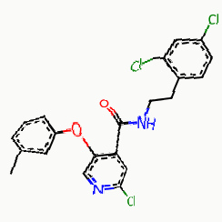 Cc1cccc(Oc2cnc(Cl)cc2C(=O)NCCc2ccc(Cl)cc2Cl)c1